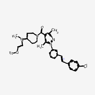 CCOCCN(C)C1CCN(C(=O)c2c(C)nn(-c3cccc(/C=C/c4ccc(Cl)cc4)c3)c2C)CC1